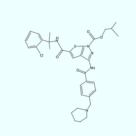 CC(C)COC(=O)n1nc(NC(=O)c2ccc(CN3CCCCC3)cc2)c2cc(C(=O)NC(C)(C)c3ccccc3Cl)sc21